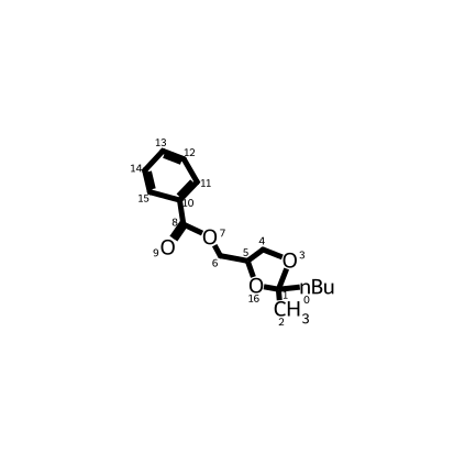 CCCCC1(C)OCC(COC(=O)c2ccccc2)O1